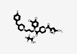 Cc1cc(C(=O)N2CCC(C(=O)N(CCCN3CCC(Cc4ccc(F)cc4)CC3)c3ccc(Cl)c(Cl)c3)CC2)no1.O=C(O)C(F)(F)F